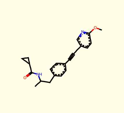 COc1ccc(C#Cc2ccc(CC(C)NC(=O)C3CC3)cc2)cn1